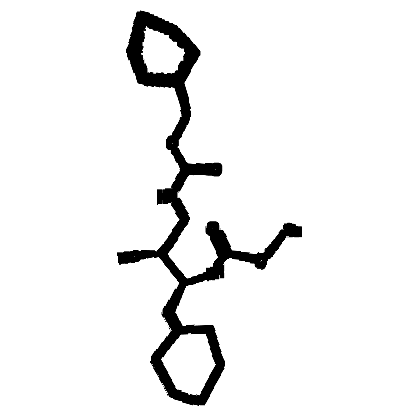 CC(C)(C)OC(=O)N[C@@H](CC1CCCCC1)[C@@H](O)CNC(=O)OCc1ccccc1